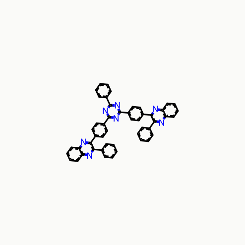 c1ccc(-c2nc(-c3ccc(-c4nc5ccccc5nc4-c4ccccc4)cc3)nc(-c3ccc(-c4nc5ccccc5nc4-c4ccccc4)cc3)n2)cc1